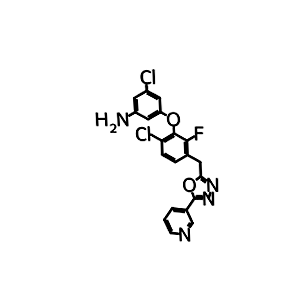 Nc1cc(Cl)cc(Oc2c(Cl)ccc(Cc3nnc(-c4cccnc4)o3)c2F)c1